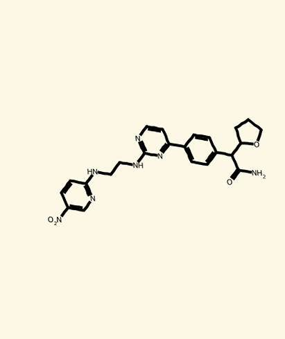 NC(=O)C(c1ccc(-c2ccnc(NCCNc3ccc([N+](=O)[O-])cn3)n2)cc1)C1CCCO1